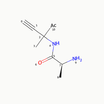 C#CC(C)(NC(=O)[C@H](C)N)C(C)=O